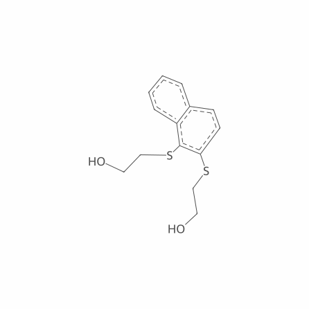 OCCSc1ccc2ccccc2c1SCCO